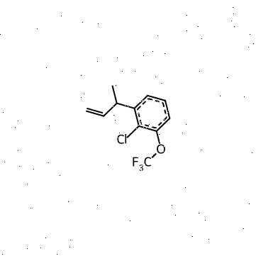 [CH2]C(C=C)c1cccc(OC(F)(F)F)c1Cl